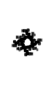 CC1=C(CCC(=O)O)c2nc1c(Br)c1[nH]c(c(C)c1CCC(=O)O)c(Br)c1nc(c(Br)c3[nH]c(c(C)c3CCC(=O)O)c2Br)C(C)=C1CCC(=O)O